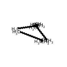 CCCCCCCCCCCCCCCC(=O)C(C)(C(=O)CCCCCCCCCCCCCCC)C(C)(O)CN.CCCCCCCCCCCCCCCCCCCCCC[N+](C)(C)C